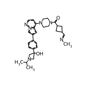 CN=CC1CC(C(=O)N2CCN(c3ccnn4cc(-c5ccc(C6(O)CN(C(C)C)C6)cc5)cc34)CC2)C1